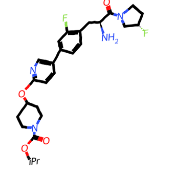 CC(C)OC(=O)N1CCC(Oc2ccc(-c3ccc(C[C@H](N)C(=O)N4CC[C@H](F)C4)c(F)c3)cn2)CC1